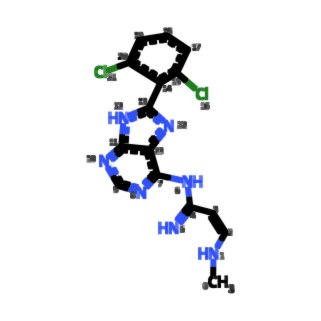 CN/C=C\C(=N)Nc1ncnc2[nH]c(-c3c(Cl)cccc3Cl)nc12